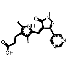 Cc1[nH]c(C=C2C(=O)NN=C2c2cncnc2)c(C)c1CCC(=O)O